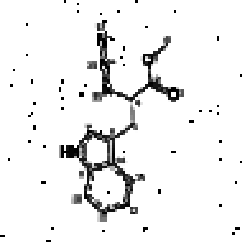 COC(=O)[C@H](Cc1c[nH]c2ccccc12)N=[N+]=[N-]